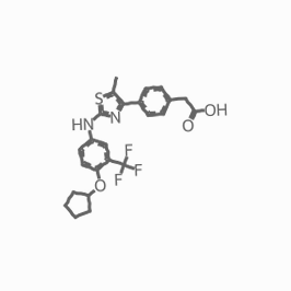 Cc1sc(Nc2ccc(OC3CCCC3)c(C(F)(F)F)c2)nc1-c1ccc(CC(=O)O)cc1